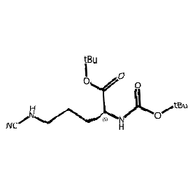 CC(C)(C)OC(=O)N[C@@H](CCCNC#N)C(=O)OC(C)(C)C